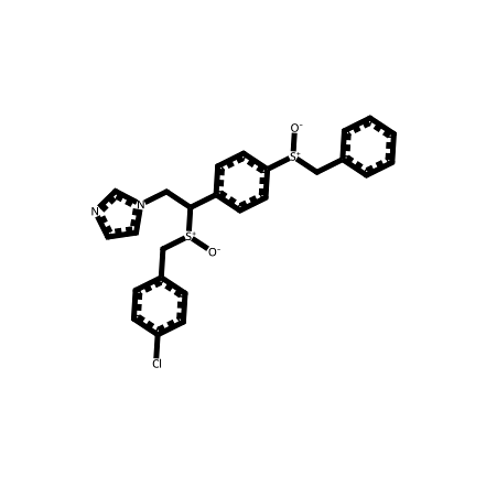 [O-][S+](Cc1ccccc1)c1ccc(C(Cn2ccnc2)[S+]([O-])Cc2ccc(Cl)cc2)cc1